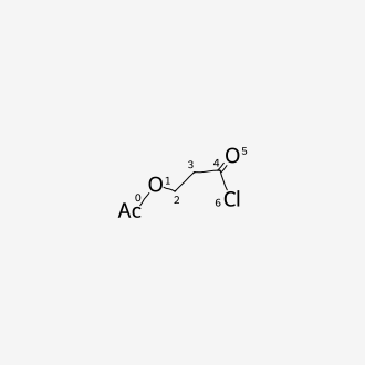 CC(=O)OCCC(=O)Cl